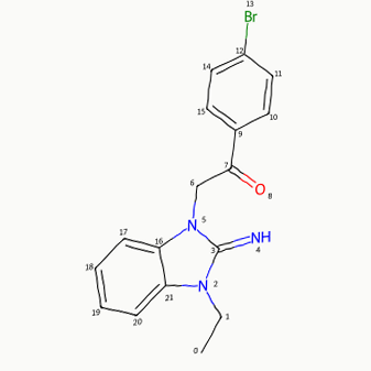 CCn1c(=N)n(CC(=O)c2ccc(Br)cc2)c2ccccc21